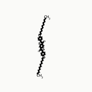 CCCCCCCCCCCCOc1ccc(-c2sc3cc4c(I)c(-c5ccc(OCCCCCCCCCCCC)cc5)sc4cc3c2I)cc1